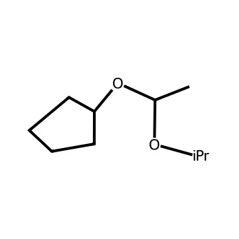 CC(C)OC(C)OC1CCCC1